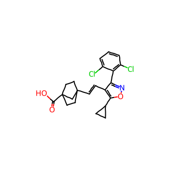 O=C(O)C12CCC(/C=C/c3c(-c4c(Cl)cccc4Cl)noc3C3CC3)(CC1)C2